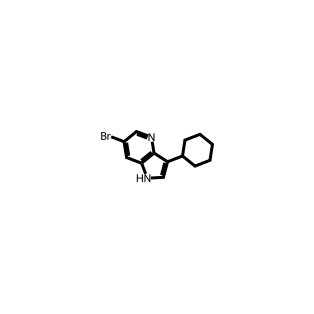 Brc1cnc2c(C3CCCCC3)c[nH]c2c1